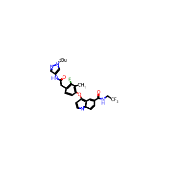 Cc1c(Oc2ccnc3ccc(C(=O)NCC(F)(F)F)cc23)ccc(CC(=O)Nc2cnn(C(C)(C)C)c2)c1F